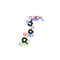 CONC(=O)c1cc(Oc2ccc(N[S+]([O-])c3ccc(Cl)c(C(F)(F)F)c3)cc2)ccn1